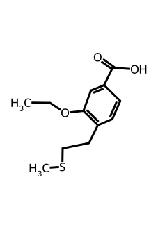 CCOc1cc(C(=O)O)ccc1CCSC